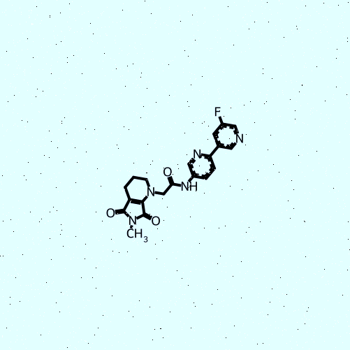 CN1C(=O)C2=C(C1=O)N(CC(=O)Nc1ccc(-c3cncc(F)c3)nc1)CCC2